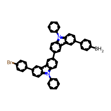 Bc1ccc(-c2ccc3c(c2)c2cc(-c4ccc5c(c4)c4cc(-c6ccc(Br)cc6)ccc4n5-c4ccccc4)ccc2n3-c2ccccc2)cc1